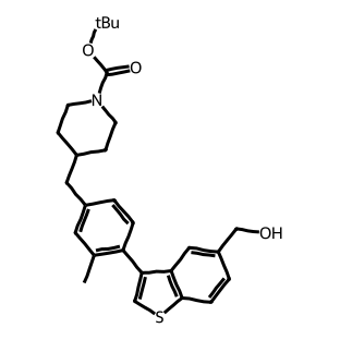 Cc1cc(CC2CCN(C(=O)OC(C)(C)C)CC2)ccc1-c1csc2ccc(CO)cc12